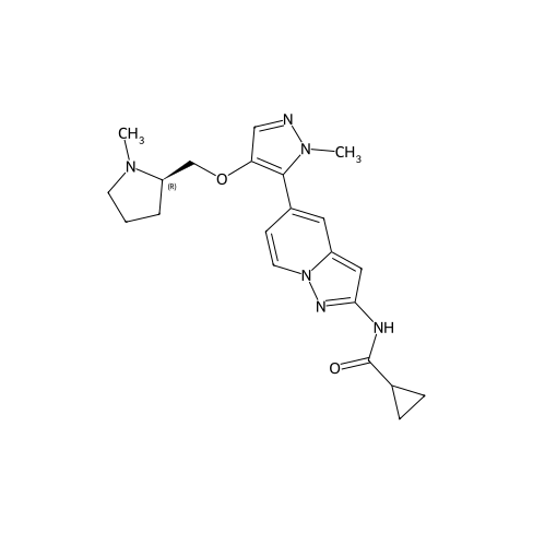 CN1CCC[C@@H]1COc1cnn(C)c1-c1ccn2nc(NC(=O)C3CC3)cc2c1